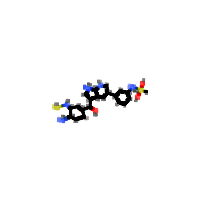 CS(=O)(=O)Nc1cccc(-c2cnc3[nH]cc(C(=O)C4=C/C(=N/S)C(=N)C=C4)c3c2)c1